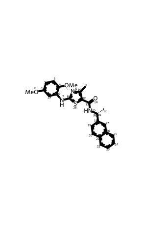 COc1ccc(OC)c(Nc2nc(C)c(C(=O)N[C@H](C)c3ccc4ccccc4c3)s2)c1